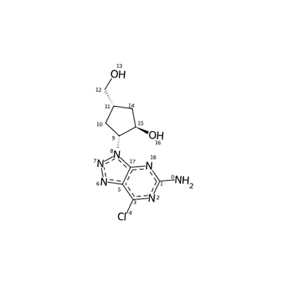 Nc1nc(Cl)c2nnn([C@@H]3C[C@H](CO)C[C@H]3O)c2n1